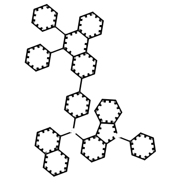 c1ccc(-c2c(-c3ccccc3)c3cc(-c4ccc(N(c5cccc6ccccc56)c5cccc6c5c5ccccc5n6-c5ccccc5)cc4)ccc3c3ccccc23)cc1